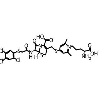 Cc1cc(SCC2=C(C(=O)O)N3C(=O)[C@H](NC(=O)CSc4cc(Cl)c(Cl)cc4Cl)[C@H]3SC2)cc(C)[n+]1CCC[C@H](N)C(=O)O